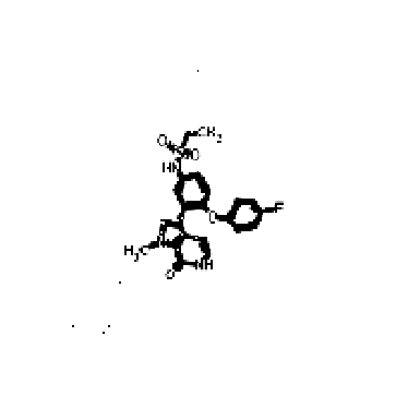 CCS(=O)(=O)Nc1ccc(Oc2ccc(F)cc2)c(-c2cn(C)c3c(=O)[nH]ccc23)c1